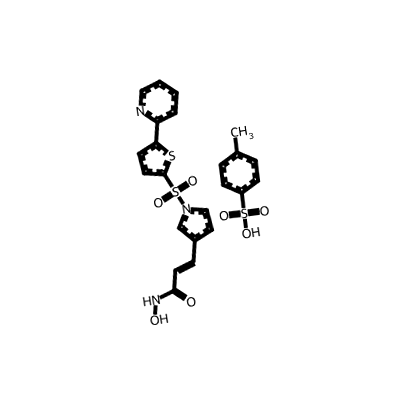 Cc1ccc(S(=O)(=O)O)cc1.O=C(C=Cc1ccn(S(=O)(=O)c2ccc(-c3ccccn3)s2)c1)NO